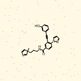 CC1(CCCNC(=O)c2ccc(-n3cccn3)c(C#Cc3cccc(O)c3)c2)C=CN=C1